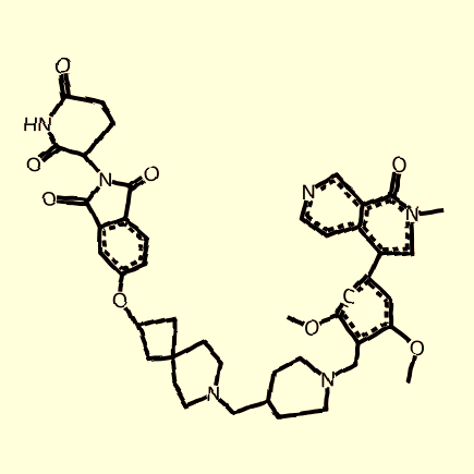 COc1cc(-c2cn(C)c(=O)c3cnccc23)cc(OC)c1CN1CCC(CN2CCC3(CC2)CC(Oc2ccc4c(c2)C(=O)N(C2CCC(=O)NC2=O)C4=O)C3)CC1